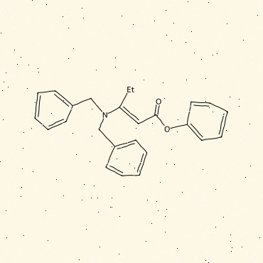 CC/C(=C\C(=O)Oc1ccccc1)N(Cc1ccccc1)Cc1ccccc1